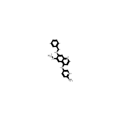 COc1cc2c(Oc3ccc(N)nc3)ccnc2cc1OCc1ccccc1